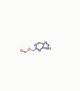 O=COCc1ncc2nc[nH]c2n1